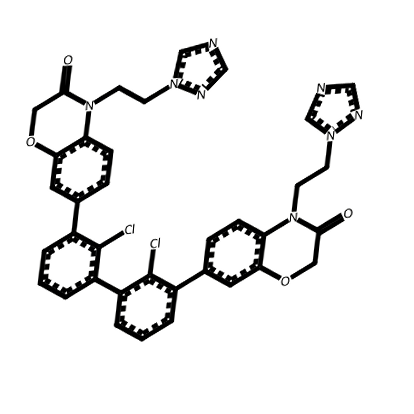 O=C1COc2cc(-c3cccc(-c4cccc(-c5ccc6c(c5)OCC(=O)N6CCn5cncn5)c4Cl)c3Cl)ccc2N1CCn1cncn1